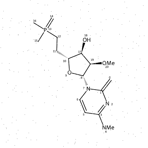 C=C1N=C(NC)C=CN1[C@@H]1O[C@H](CCP(=C)(C)C)[C@@H](O)[C@H]1OC